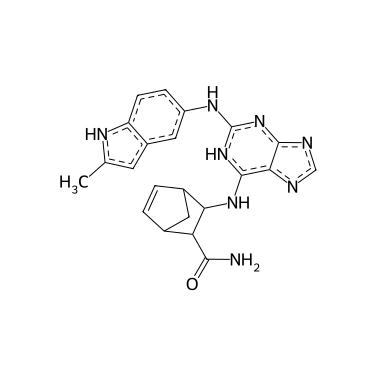 Cc1cc2cc(Nc3nc4ncnc-4c(NC4C5C=CC(C5)C4C(N)=O)[nH]3)ccc2[nH]1